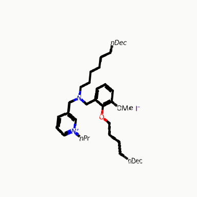 CCCCCCCCCCCCCCCCN(Cc1ccc[n+](CCC)c1)Cc1cccc(OC)c1OCCCCCCCCCCCCCC.[I-]